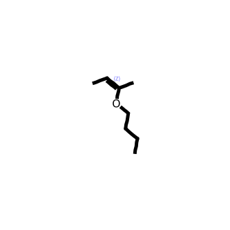 C/C=C(/C)OCCCC